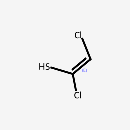 S/C(Cl)=C\Cl